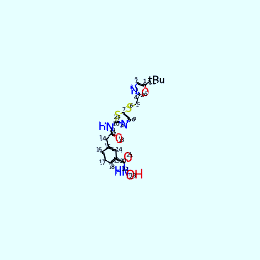 CC(C)(C)c1cnc(CSc2cnc(NC(=O)Cc3cccc(C(=O)NO)c3)s2)o1